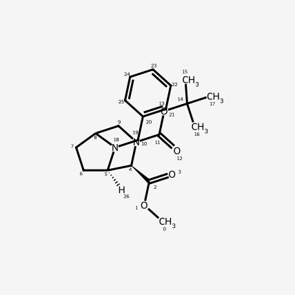 COC(=O)[C@H]1[C@H]2CCC(CN1C(=O)OC(C)(C)C)N2Cc1ccccc1